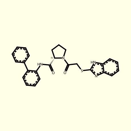 O=C(Nc1ccccc1-c1ccccc1)[C@@H]1CCCN1C(=O)CSc1nc2ccccc2[nH]1